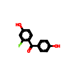 O=C(c1ccc(O)cc1)c1ccc(O)cc1F